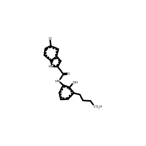 O=C(O)CCCc1cccc(NC(=O)c2cc3cc(Cl)ccc3[nH]2)c1O